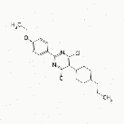 CCCC1CCC(c2c(Cl)nc(-c3ccc(OCC)cc3)nc2Cl)CC1